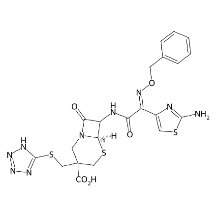 Nc1nc(C(=NOCc2ccccc2)C(=O)NC2C(=O)N3CC(CSc4nnn[nH]4)(C(=O)O)CS[C@H]23)cs1